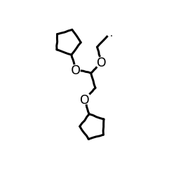 [CH2]COC(COC1CCCC1)OC1CCCC1